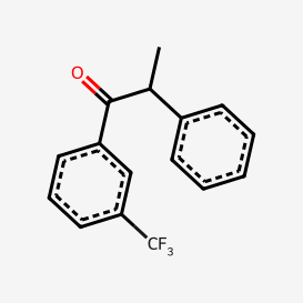 CC(C(=O)c1cccc(C(F)(F)F)c1)c1ccccc1